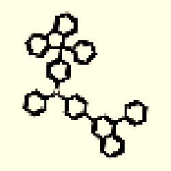 c1ccc(-c2cc(-c3ccc(N(c4ccccc4)c4ccc(C5(c6ccccc6)c6ccccc6-c6ccccc65)cc4)cc3)cc3ccccc23)cc1